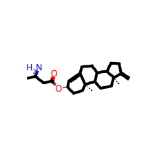 C=C1CCC2C3CCC4=C[C@@H](OC(=O)CC(C)N)CC[C@]4(C)C3CC[C@]12C